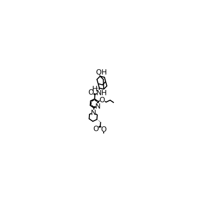 CCCOc1nc(N2CCC[C@@H](CC(=O)OC)C2)ccc1C(=O)N[C@H]1C2CC3CC1C[C@@](O)(C3)C2